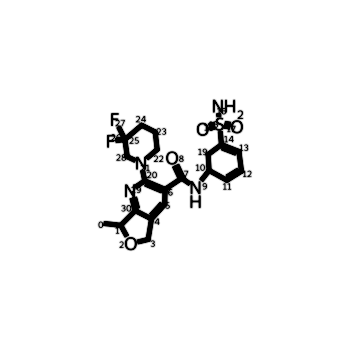 CC1OCc2cc(C(=O)NC3C=CC=C(S(N)(=O)=O)C3)c(N3CCCC(F)(F)C3)nc21